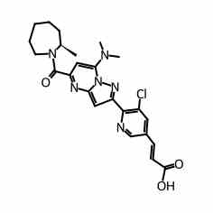 C[C@@H]1CCCCCN1C(=O)c1cc(N(C)C)n2nc(-c3ncc(/C=C/C(=O)O)cc3Cl)cc2n1